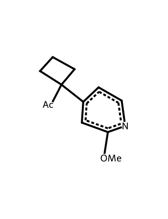 COc1cc(C2(C(C)=O)CCC2)ccn1